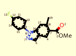 COC(=O)c1cc2cnn(-c3ccc(F)cc3)c2cc1C